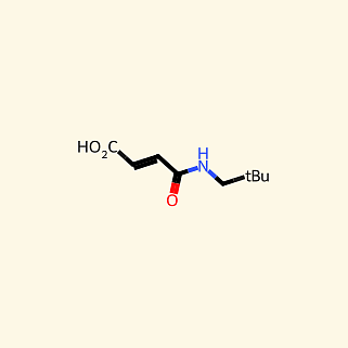 CC(C)(C)CNC(=O)C=CC(=O)O